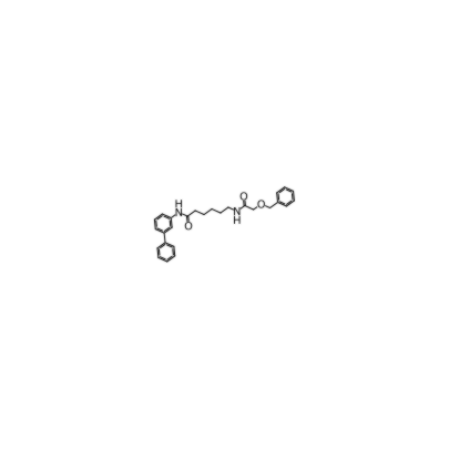 O=C(COCc1ccccc1)NCCCCCC(=O)Nc1cccc(-c2ccccc2)c1